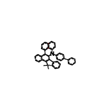 CC1(C)c2ccccc2-c2c(N(c3ccccc3)c3ccc(-c4ccccc4)cc3)c(-c3ccccc3)c3ccccc3c21